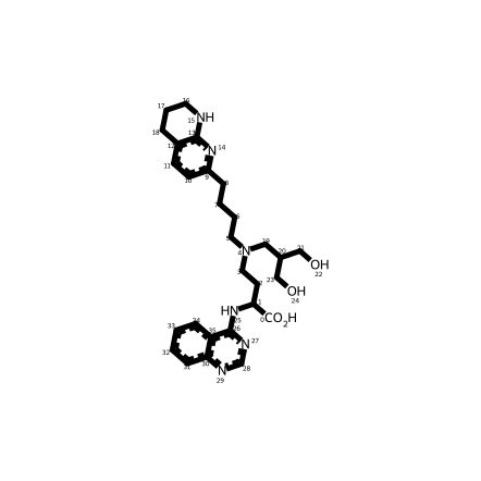 O=C(O)C(CCN(CCCCc1ccc2c(n1)NCCC2)CC(CO)CO)Nc1ncnc2ccccc12